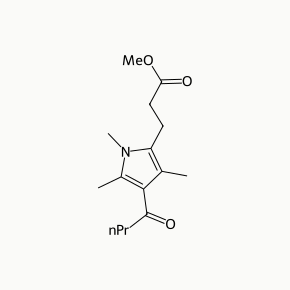 CCCC(=O)c1c(C)c(CCC(=O)OC)n(C)c1C